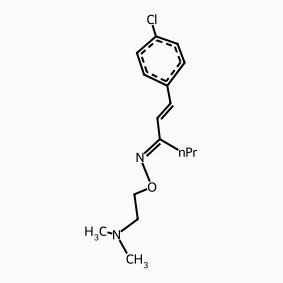 CCC/C(C=Cc1ccc(Cl)cc1)=N\OCCN(C)C